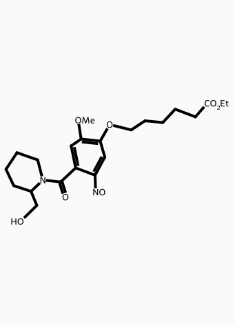 CCOC(=O)CCCCCOc1cc(N=O)c(C(=O)N2CCCCC2CO)cc1OC